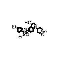 CCc1ccc(N(CC(C)C)S(=O)(=O)c2ccc3c(c2)C(O)CCN3C2CCS(=O)(=O)CC2)cc1